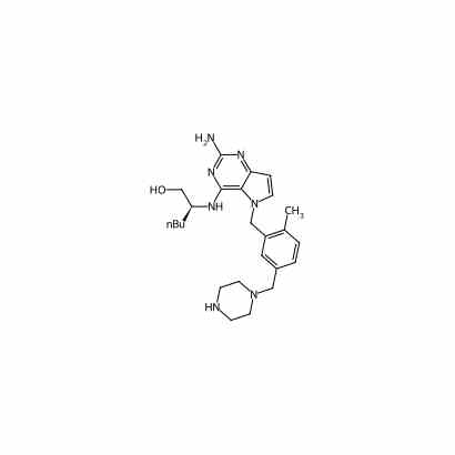 CCCC[C@@H](CO)Nc1nc(N)nc2ccn(Cc3cc(CN4CCNCC4)ccc3C)c12